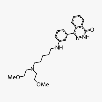 COCCN(CCCCCNc1cccc(-c2n[nH]c(=O)c3ccccc23)c1)CCOC